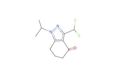 CC(C)n1nc(C(F)F)c2c1CCCC2=O